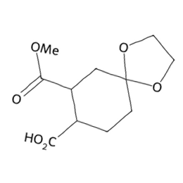 COC(=O)C1CC2(CCC1C(=O)O)OCCO2